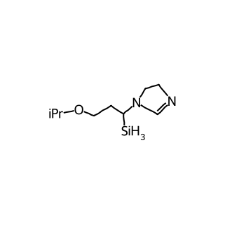 CC(C)OCCC([SiH3])N1C=NCC1